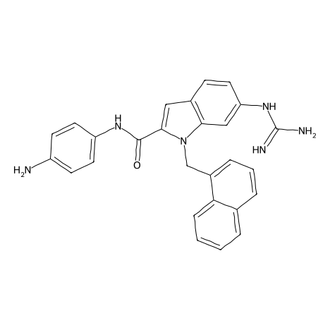 N=C(N)Nc1ccc2cc(C(=O)Nc3ccc(N)cc3)n(Cc3cccc4ccccc34)c2c1